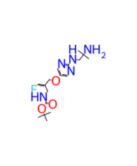 CC(C)(N)CNc1ncc(OC/C(=C/F)CNC(=O)OC(C)(C)C)cn1